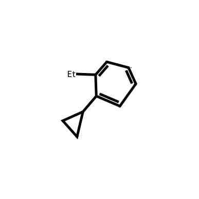 CCc1c[c]ccc1C1CC1